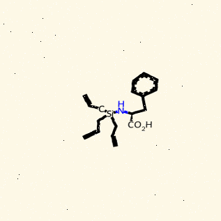 C=CC[Si](CC=C)(CC=C)N[C@@H](Cc1ccccc1)C(=O)O